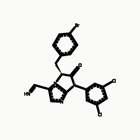 N=Cc1cnc2n1[C@H](Cc1ccc(Br)cc1)C(=O)N2c1cc(Cl)cc(Cl)c1